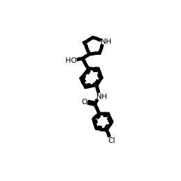 O=C(Nc1ccc(C(O)C2CCNC2)cc1)c1ccc(Cl)cc1